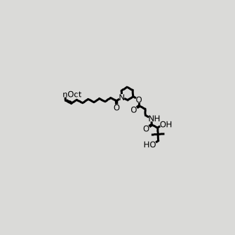 CCCCCCCC/C=C\CCCCCCCC(=O)N1CCCC(OC(=O)CCNC(=O)C(O)C(C)(C)CO)C1